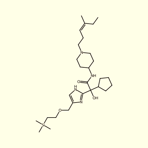 CCC(C)=CCCN1CCC(NC(=O)C(O)(c2nc(COCC[Si](C)(C)C)c[nH]2)C2CCCC2)CC1